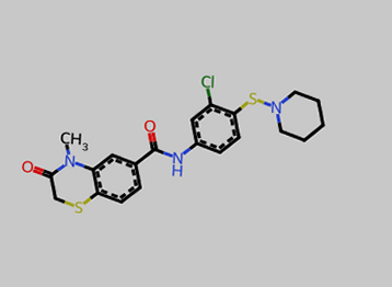 CN1C(=O)CSc2ccc(C(=O)Nc3ccc(SN4CCCCC4)c(Cl)c3)cc21